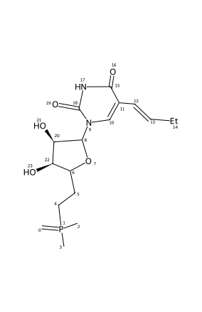 C=P(C)(C)CCC1OC(n2cc(/C=C/CC)c(=O)[nH]c2=O)[C@H](O)[C@@H]1O